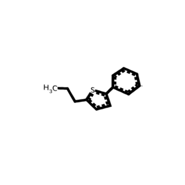 CCCc1ccc(-c2c[c]ccc2)s1